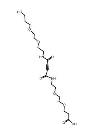 O=C(O)CCOCCOCCNC(=O)C#CC(=O)NCCOCCOCCCO